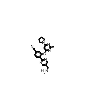 Cc1nc(Oc2cc(C#N)ccc2-c2ncc(CN)cn2)cc(N2CCCC2)n1